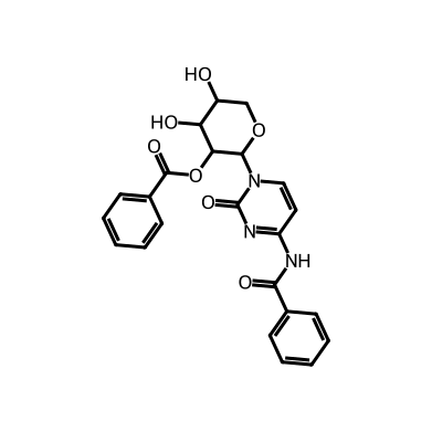 O=C(Nc1ccn(C2OCC(O)C(O)C2OC(=O)c2ccccc2)c(=O)n1)c1ccccc1